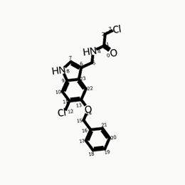 O=C(CCl)NCc1c[nH]c2cc(Cl)c(OCc3ccccc3)cc12